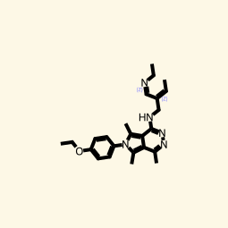 C/C=C(\C=N/CC)CNc1nnc(C)c2c(C)n(-c3ccc(OCC)cc3)c(C)c12